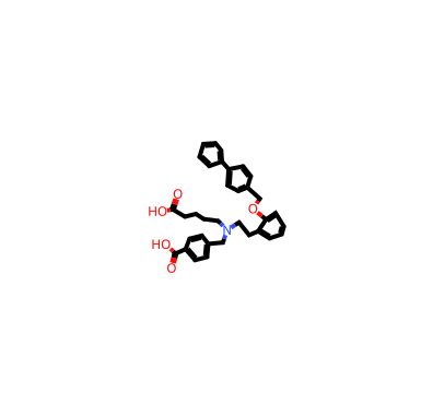 O=C(O)CCCCN(CCc1ccccc1OCc1ccc(-c2ccccc2)cc1)Cc1ccc(C(=O)O)cc1